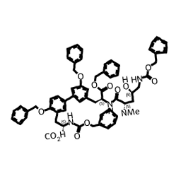 CN[C@@H](C[C@@H](O)CNC(=O)OCc1ccccc1)C(=O)N[C@@H](Cc1cc(OCc2ccccc2)cc(-c2ccc(OCc3ccccc3)c(C[C@H](NC(=O)OCc3ccccc3)C(=O)O)c2)c1)C(=O)OCc1ccccc1